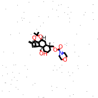 C=C1C=C2C[C@@]34C2[C@]2(CO)CCC[C@@](C)(COC(=O)N5CCOCC5)C2C[C@H]3OC(C)(C)O[C@@H]14